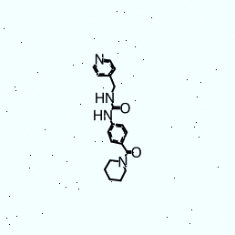 O=C(NCc1ccncc1)Nc1ccc(C(=O)N2CCCCC2)cc1